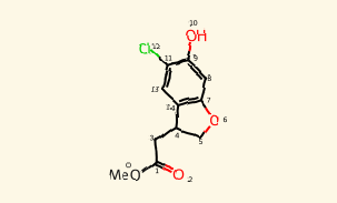 COC(=O)CC1COc2cc(O)c(Cl)cc21